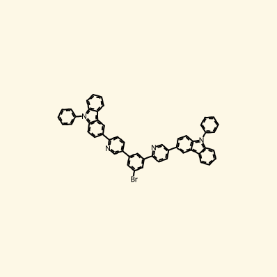 Brc1cc(-c2ccc(-c3ccc4c(c3)c3ccccc3n4-c3ccccc3)nc2)cc(-c2ccc(-c3ccc4c(c3)c3ccccc3n4-c3ccccc3)cn2)c1